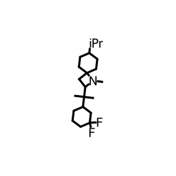 CC(C)C1CCC2(CC1)CC(C(C)(C)C1CCCC(F)(F)C1)N2C